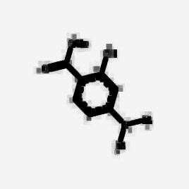 CCN(CC)c1ccc(C(=O)OC)c(O)c1